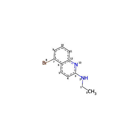 CCNc1ccc2c(Br)cccc2n1